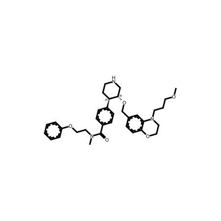 COCCCN1CCOc2ccc(CO[C@H]3CNCC[C@@H]3c3ccc(C(=O)N(C)CCOc4ccccc4)cc3)cc21